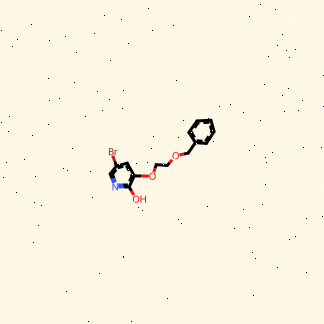 Oc1ncc(Br)cc1OCCOCc1ccccc1